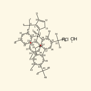 Cl.Cl.[CH2]=[Zr]([C]1=C(C(C)(C)C)C(C)=CC1)([c]1ccc(C)cc1)([c]1ccc(C)cc1)[c]1c(C)c(C(C)(C)C)cc2c1Cc1cc(C)c(C(C)(C)C)cc1-2